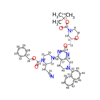 CC(C)(C)OC(=O)N1CCO[C@H](COc2nc3c(c(N4CCN(C(=O)OCc5ccccc5)C(CC#N)C4)n2)CCN(c2cccc4ccccc24)C3)C1